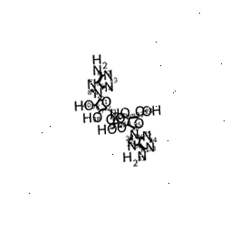 Nc1ncnc2c1ncn2[C@@H]1O[C@H](COP(=O)(O)OC2C(O)[C@@H](OO)O[C@H]2n2cnc3c(N)ncnc32)C(O)C1O